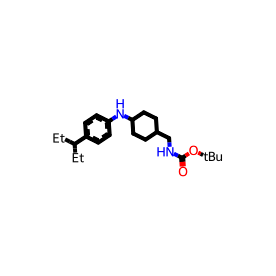 CCC(CC)c1ccc(NC2CCC(CNC(=O)OC(C)(C)C)CC2)cc1